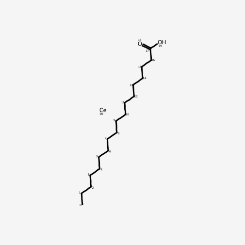 CCCCCCCCCCCCCCCCCC(=O)O.[Ce]